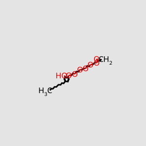 C=CC(=O)OCCOCCOCCOCCOCCOc1ccc(CCCCCCCCC)cc1O